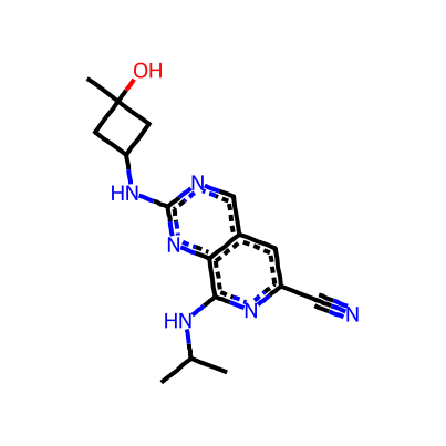 CC(C)Nc1nc(C#N)cc2cnc(NC3CC(C)(O)C3)nc12